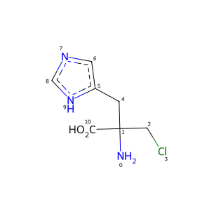 NC(CCl)(Cc1cnc[nH]1)C(=O)O